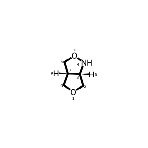 C1OC[C@H]2NOC[C@@H]12